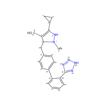 CCCN1NC(C2CC2)=C(C(=O)O)C1Cc1ccc(-c2ccccc2-c2nn[nH]n2)cc1